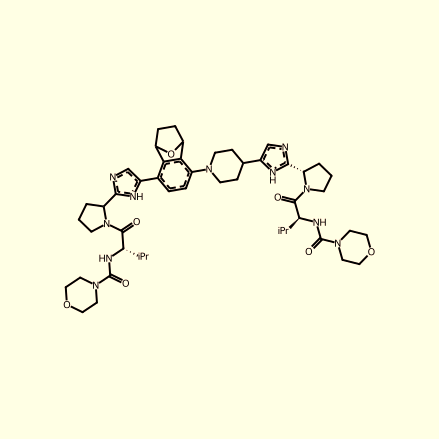 CC(C)[C@H](NC(=O)N1CCOCC1)C(=O)N1CCCC1c1ncc(-c2ccc(N3CCC(c4cnc([C@@H]5CCCN5C(=O)[C@@H](NC(=O)N5CCOCC5)C(C)C)[nH]4)CC3)c3c2C2CCC3O2)[nH]1